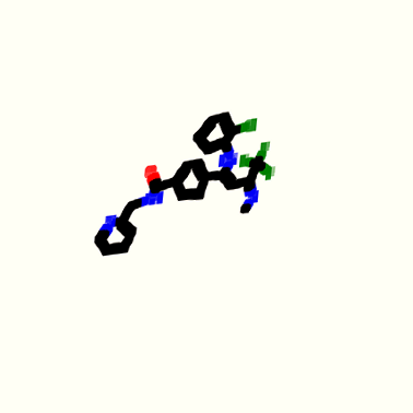 C/N=C(\C=C(/Nc1ccccc1Cl)c1ccc(C(=O)NCc2ccccn2)cc1)C(F)(F)F